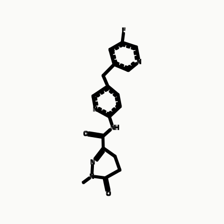 CN1N=C(C(=O)Nc2ccc(Cc3cncc(F)c3)cn2)CCC1=O